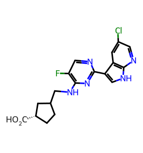 O=C(O)[C@H]1CCC(CNc2nc(-c3c[nH]c4ncc(Cl)cc34)ncc2F)C1